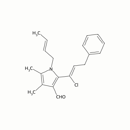 CC=CCn1c(C)c(C)c(C=O)c1C(Cl)=CCc1ccccc1